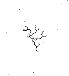 CCC(C=O)CCOP(=O)(OCCC(C=O)CC)OP(=O)(OCCC(C=O)CC)OCCC(C=O)CC